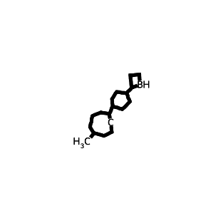 CC1CCCC(C2CCC(C3BCC3)CC2)CCC1